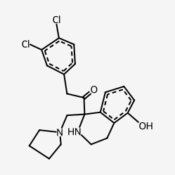 O=C(Cc1ccc(Cl)c(Cl)c1)C1(CN2CCCC2)NCCc2c(O)cccc21